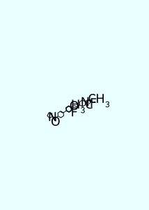 CC(C)(F)CN1CCC(COc2ccc(C3=CCC(C(=O)N4CCCC4)CC3)cc2F)CC1